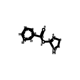 O=C(OC1=NCCN1)c1cccnc1